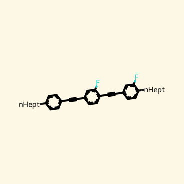 CCCCCCCc1ccc(C#Cc2ccc(C#Cc3ccc(CCCCCCC)c(F)c3)c(F)c2)cc1